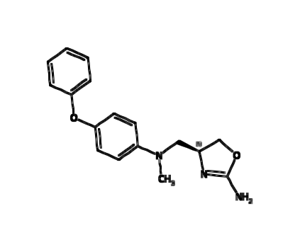 CN(C[C@H]1COC(N)=N1)c1ccc(Oc2ccccc2)cc1